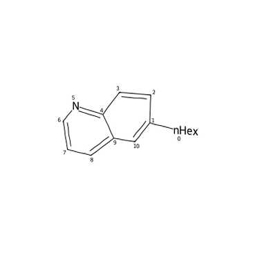 [CH2]CCCCCc1ccc2ncccc2c1